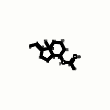 CC=C1CCC2C(OC(C)=O)CCCC12C